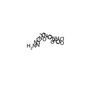 COc1ccc(C(=O)Nc2ccc(-n3ccc(C)c(N4CCc5nc(N)ncc5C4)c3=O)cc2)cc1Cl